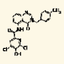 Cc1ccc(Cn2cnc3cccc(NC(=O)c4cc(Cl)c(O)c(Cl)n4)c3c2=O)cc1